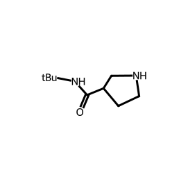 CC(C)(C)NC(=O)C1CCNC1